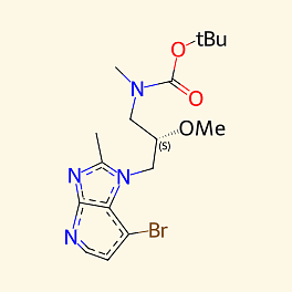 CO[C@@H](CN(C)C(=O)OC(C)(C)C)Cn1c(C)nc2nccc(Br)c21